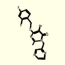 Cc1nc(OCc2ccc(F)cc2F)c(Br)c(=O)n1Cc1cnccn1